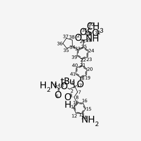 CC(C)(C)C(COC(N)=O)(C[C@@H](O)c1ccc(N)cc1)Oc1ccc(-c2ccc(C(=O)NS(C)(=O)=O)c(C3CCCC3)c2)cc1